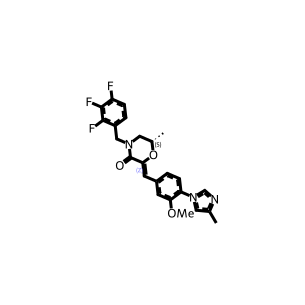 COc1cc(/C=C2\O[C@@H](C)CN(Cc3ccc(F)c(F)c3F)C2=O)ccc1-n1cnc(C)c1